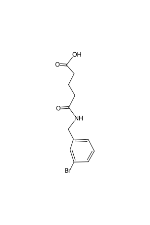 O=C(O)CCCC(=O)NCc1cccc(Br)c1